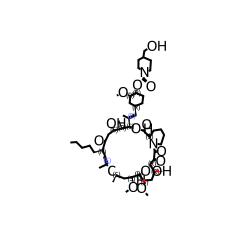 CCCCC[C@@H]1/C=C(\C)C[C@H](C)C[C@H](OC)[C@H]2O[C@@](O)(C(=O)C(=O)N3CCCC[C@H]3C(=O)O[C@H](/C(C)=C/[C@@H]3CC[C@@H](OC(=O)N4CCC(CO)CC4)[C@H](OC)C3)[C@H](C)[C@@H](O)CC1=O)[C@H](C)C[C@@H]2OC